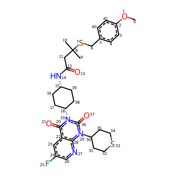 COc1ccc(CSC(C)(C)CC(=O)N[C@H]2CC[C@@H](n3c(=O)c4cc(F)cnc4n(C4CCSCC4)c3=O)CC2)cc1